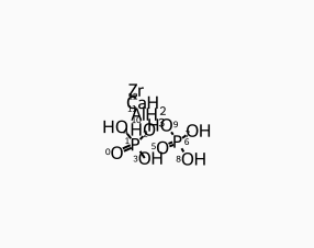 O=P(O)(O)O.O=P(O)(O)O.[AlH3].[CaH2].[Zr]